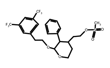 CS(=O)(=O)OCCC1CCOC(OCCc2cc(C(F)(F)F)cc(C(F)(F)F)c2)C1c1ccccc1